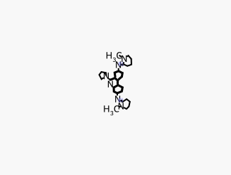 CN1CCCC/C1=N\c1ccc2c(c1)nc(N1CCCC1)c1cc(/N=C3\CCCCN3C)ccc12